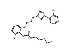 CCCCCNC(=O)Nc1c(C)cccc1OCCCn1cnc(-c2ccccc2N)c1